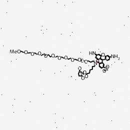 COCCOCCOCCOCCOCCOCCOCCOCCOCCOCCOCCCN(CCCCCC(=O)ON1C(=O)CCC1=O)C(=O)c1ccc(S(C)(=O)=O)cc1-c1c2ccc(=N)cc-2oc2cc(N)ccc12